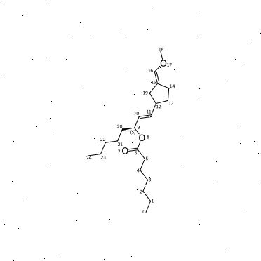 CCCCCCC(=O)O[C@H](C=CC1CCC(=COC)C1)CCCCC